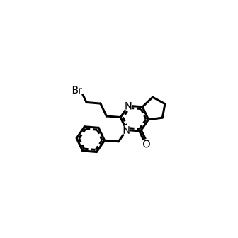 O=c1c2c(nc(CCCBr)n1Cc1ccccc1)CCC2